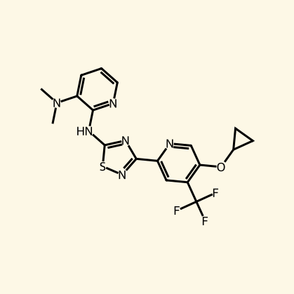 CN(C)c1cccnc1Nc1nc(-c2cc(C(F)(F)F)c(OC3CC3)cn2)ns1